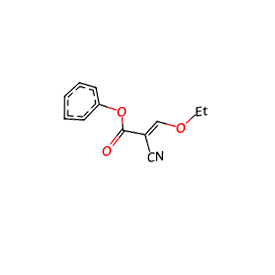 CCOC=C(C#N)C(=O)Oc1ccccc1